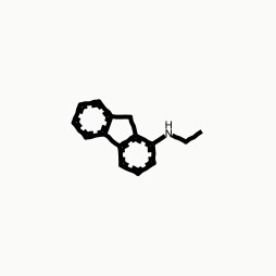 CCNc1cccc2c1Cc1ccccc1-2